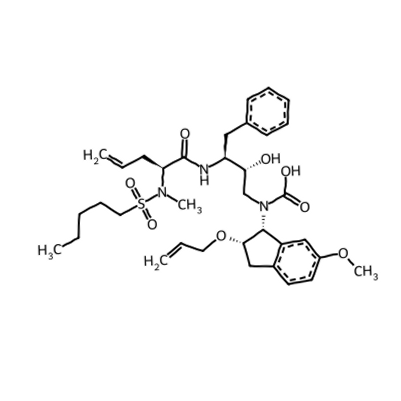 C=CCO[C@H]1Cc2ccc(OC)cc2[C@H]1N(C[C@@H](O)[C@H](Cc1ccccc1)NC(=O)[C@H](CC=C)N(C)S(=O)(=O)CCCCC)C(=O)O